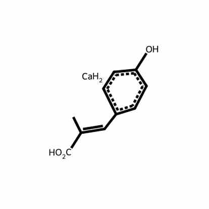 CC(=Cc1ccc(O)cc1)C(=O)O.[CaH2]